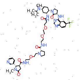 CC(C)N(C)[C@@H]1CC[C@H](N2CC[C@H](Nc3ncnc4ccc(C(F)(F)F)cc34)C2=O)[C@H](NC(=O)CCOCCOCCNC(=O)[C@@H]2CCCN2CCOCCNC(=O)[C@H]2CC(=O)N(C)[C@@H]2c2cccnc2)C1